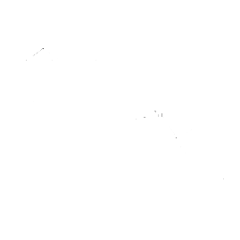 CCCC(C)(C)[Si](C)(C)OC1=Cc2ccccc2C1